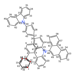 c1ccc(-c2ccccc2-c2c(-c3ccccc3)cccc2N(c2ccc(-c3ccc(-n4c5ccccc5c5ccccc54)cc3)cc2)c2cc3ccccc3c3ccccc23)cc1